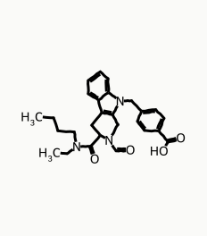 CCCCN(CC)C(=O)C1Cc2c(n(Cc3ccc(C(=O)O)cc3)c3ccccc23)CN1C=O